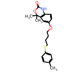 Cc1ccc(SCCCCOc2ccc3c(c2)C(C)(C)OC(=O)N3)cc1